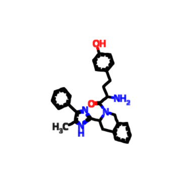 Cc1[nH]c(C2Cc3ccccc3CN2C(=O)C(N)CCc2ccc(O)cc2)nc1-c1ccccc1